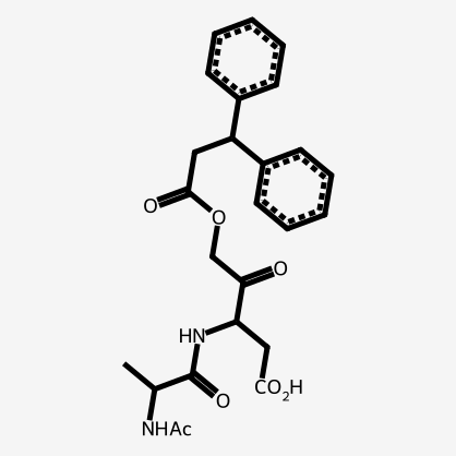 CC(=O)NC(C)C(=O)NC(CC(=O)O)C(=O)COC(=O)CC(c1ccccc1)c1ccccc1